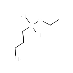 CCO[Si](Cl)(Cl)CCCS